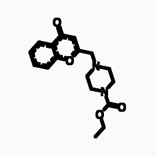 CCOC(=O)N1CCN(Cc2cc(=O)c3ccccc3o2)CC1